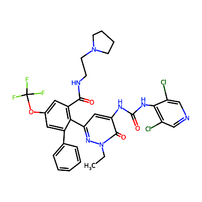 CCn1nc(-c2c(C(=O)NCCN3CCCC3)cc(OC(F)(F)F)cc2-c2ccccc2)cc(NC(=O)Nc2c(Cl)cncc2Cl)c1=O